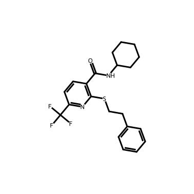 O=C(NC1CCCCC1)c1ccc(C(F)(F)F)nc1SCCc1ccccc1